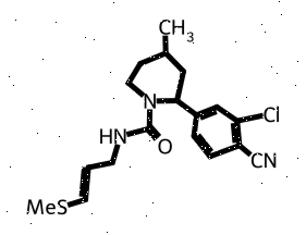 CS/C=C/CNC(=O)N1CCC(C)CC1c1ccc(C#N)c(Cl)c1